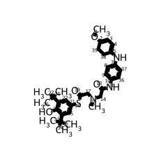 COC1=CC=C(Nc2ccc(NC(=O)CN(C)CC(=O)Sc3cc(C(C)(C)C)c(O)c(C(C)(C)C)c3)cc2)CC1